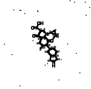 O=C(O)c1cn(C2CC2)c2c(OCF)c(-c3ccc4c(c3)CNC4)c(F)cc2c1=O